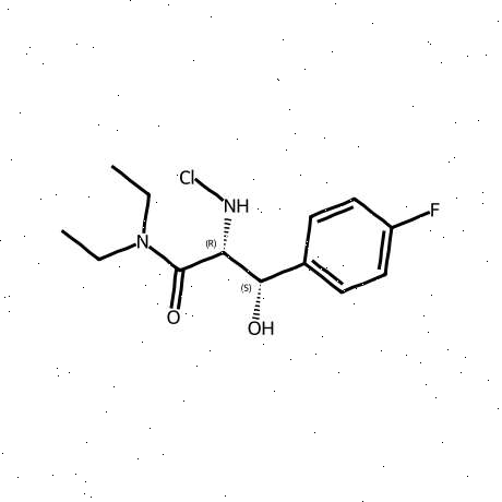 CCN(CC)C(=O)[C@H](NCl)[C@@H](O)c1ccc(F)cc1